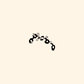 O=C(Nc1cncc(-c2cccnc2)c1)N1CCN(C(=O)c2cccc(OCCC3CCCCC3)c2)CC1